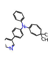 CC1(C)C=CC=C(N(c2ccccc2)c2ccc(-c3cccnc3)cc2)C=C1